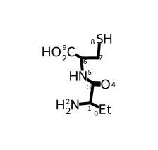 CCC(N)C(=O)NC(CS)C(=O)O